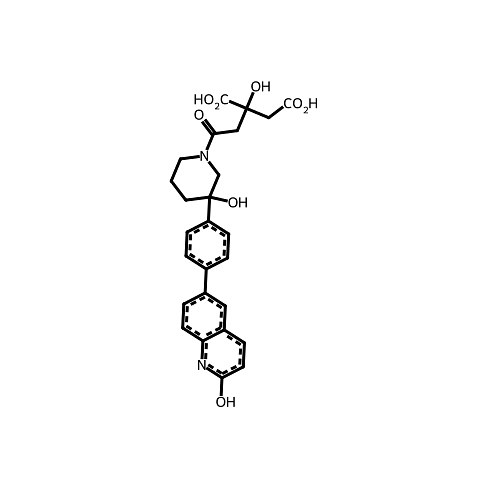 O=C(O)CC(O)(CC(=O)N1CCCC(O)(c2ccc(-c3ccc4nc(O)ccc4c3)cc2)C1)C(=O)O